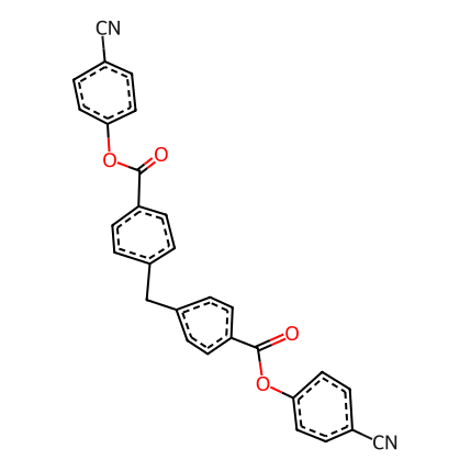 N#Cc1ccc(OC(=O)c2ccc(Cc3ccc(C(=O)Oc4ccc(C#N)cc4)cc3)cc2)cc1